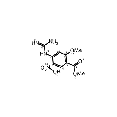 COC(=O)c1ccc(NC(=N)N)cc1OC.O=[N+]([O-])O